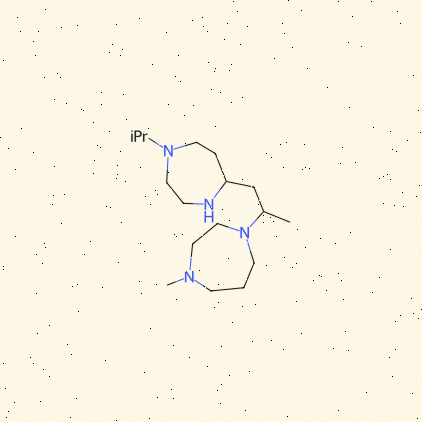 CC(C)N1CCNC(CC(C)N2CCCN(C)CC2)CC1